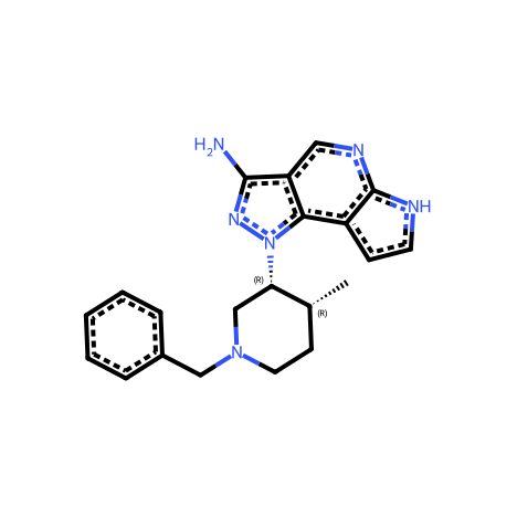 C[C@@H]1CCN(Cc2ccccc2)C[C@@H]1n1nc(N)c2cnc3[nH]ccc3c21